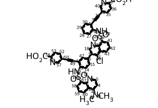 CN(C)c1ccnc2c(S(=O)(=O)Nc3ccc(-c4cnc5c(S(=O)(=O)Nc6ccccc6C#Cc6ccc(C(=O)O)nc6)cccc5c4Cl)cc3C#Cc3ccc(C(=O)O)nc3)cccc12